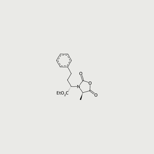 CCOC(=O)[C@H](CCc1ccccc1)N1C(=O)OC(=O)[C@H]1C